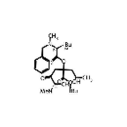 CC[C@H](C)[C@@H](C(=O)OC(CC(=O)[C@H](C)NC)(CC(C)O)C(=O)OC(C)(C)C)N(C)Cc1ccccc1